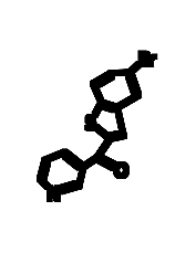 O=C(c1cccnc1)c1cc2cc(Br)ccc2s1